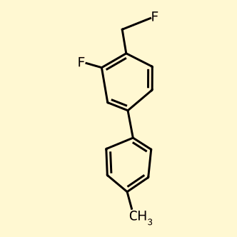 Cc1ccc(-c2ccc(CF)c(F)c2)cc1